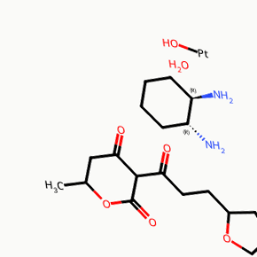 CC1CC(=O)C(C(=O)CCC2CCCO2)C(=O)O1.N[C@@H]1CCCC[C@H]1N.O.[OH][Pt]